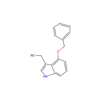 N#CCc1c[nH]c2cccc(OCc3ccccc3)c12